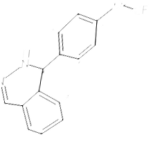 FC(F)(F)Oc1ccc(C2NN=Cc3ccccc32)cc1